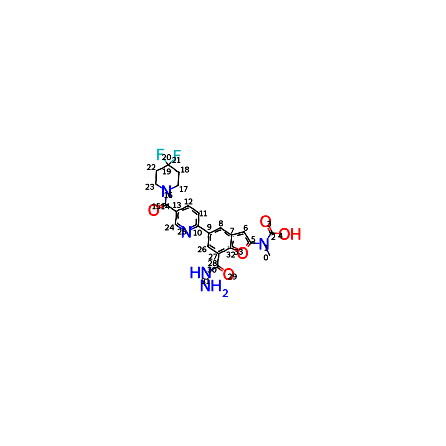 CN(C(=O)O)c1cc2cc(-c3ccc(C(=O)N4CCC(F)(F)CC4)cn3)cc(C(=O)NN)c2o1